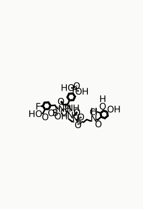 O=C(NCCCS(=O)(=O)N1CCN(C(=O)N[C@@H](C(=O)N[C@H]2Cc3ccc(F)c(C(=O)O)c3OB2O)c2ccc(P(=O)(O)O)cc2)C1=O)c1ccc(O)c(O)c1Cl